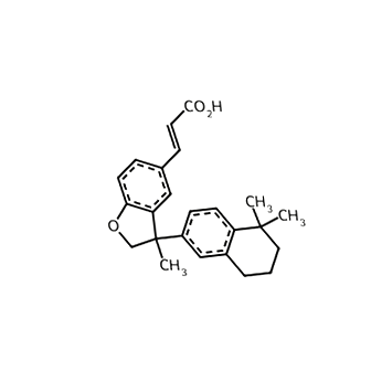 CC1(C)CCCc2cc(C3(C)COc4ccc(/C=C/C(=O)O)cc43)ccc21